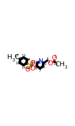 CC(=O)OCc1ccc(OS(=O)(=O)c2ccc(C)cc2)cn1